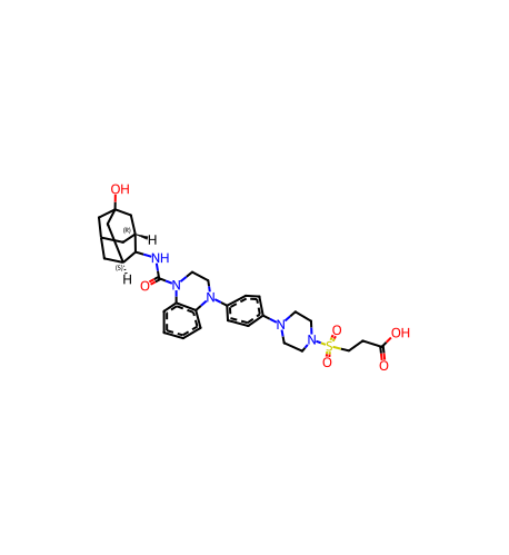 O=C(O)CCS(=O)(=O)N1CCN(c2ccc(N3CCN(C(=O)NC4[C@@H]5CC6C[C@H]4CC(O)(C6)C5)c4ccccc43)cc2)CC1